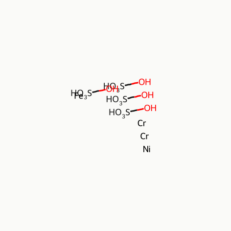 O=S(=O)(O)O.O=S(=O)(O)O.O=S(=O)(O)O.O=S(=O)(O)O.[Cr].[Cr].[Fe].[Ni]